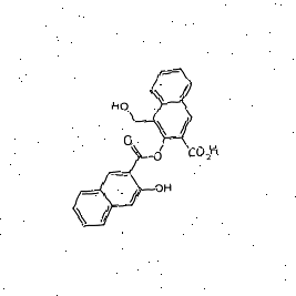 O=C(Oc1c(C(=O)O)cc2ccccc2c1CO)c1cc2ccccc2cc1O